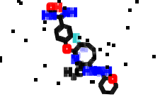 C[C@H]1/N=C(Oc2ccc(C(=N)NO)cc2)\C(F)=C/CCC1NNC1CCCCO1